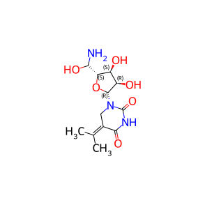 CC(C)=C1CN([C@@H]2O[C@H](C(N)O)[C@@H](O)[C@H]2O)C(=O)NC1=O